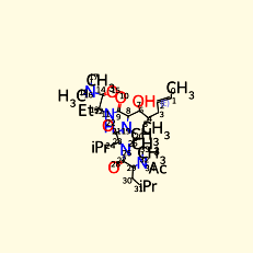 C/C=C/CC(C)C(O)C(C(=O)NC(CC)C(=O)N(C)C)N(C)C(=O)C(C(C)C)N(C)C(=O)C(CC(C)C)N(C)C(C)=O